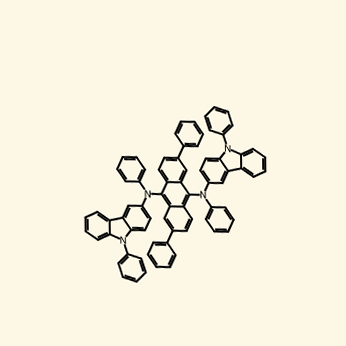 c1ccc(-c2ccc3c(N(c4ccccc4)c4ccc5c(c4)c4ccccc4n5-c4ccccc4)c4cc(-c5ccccc5)ccc4c(N(c4ccccc4)c4ccc5c(c4)c4ccccc4n5-c4ccccc4)c3c2)cc1